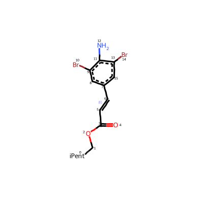 CCCC(C)COC(=O)/C=C/c1cc(Br)c(N)c(Br)c1